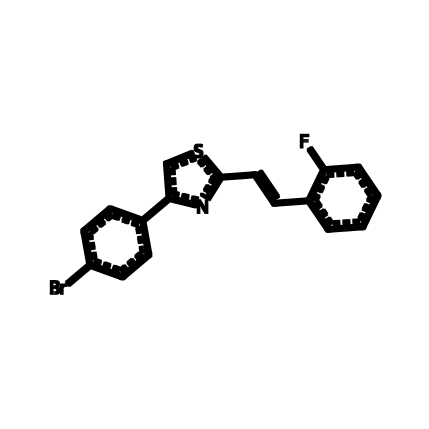 Fc1ccccc1/C=C/c1nc(-c2ccc(Br)cc2)cs1